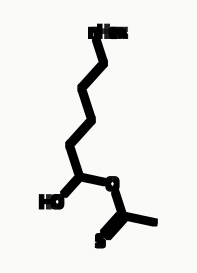 CCCCCCCCCCC(O)OC(C)=S